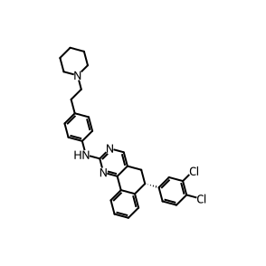 Clc1ccc([C@H]2Cc3cnc(Nc4ccc(CCN5CCCCC5)cc4)nc3-c3ccccc32)cc1Cl